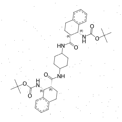 CC(C)(C)OC(=O)N[C@H]1c2ccccc2CC[C@H]1C(=O)NC1CCC(NC(=O)[C@@H]2CCc3ccccc3[C@@H]2NC(=O)OC(C)(C)C)CC1